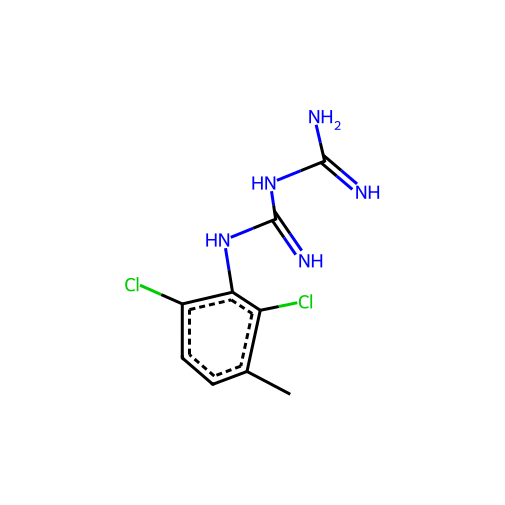 Cc1ccc(Cl)c(NC(=N)NC(=N)N)c1Cl